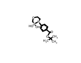 CC(C)(C)OC(=O)c1ccc(N2CCOCS2(O)O)cc1